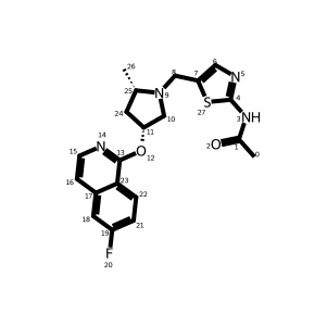 CC(=O)Nc1ncc(CN2C[C@H](Oc3nccc4cc(F)ccc34)C[C@@H]2C)s1